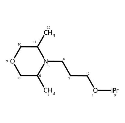 CC(C)OCCCN1C(C)COCC1C